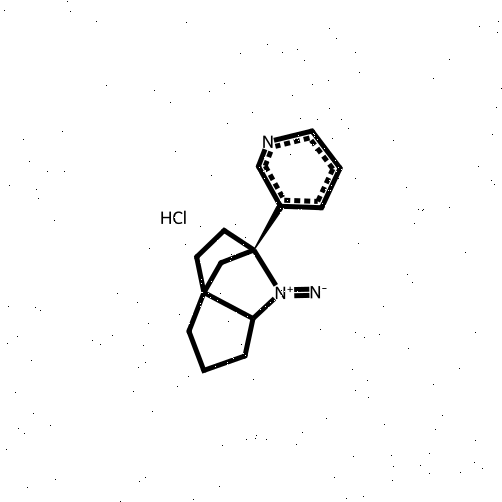 Cl.[N-]=[N+]1C2CCCC23CC[C@@]1(c1cccnc1)C3